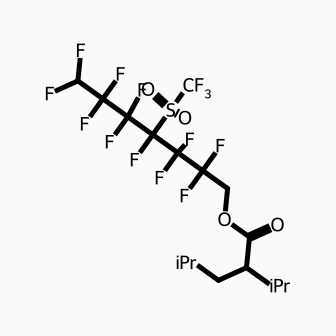 CC(C)CC(C(=O)OCC(F)(F)C(F)(F)C(F)(C(F)(F)C(F)(F)C(F)F)S(=O)(=O)C(F)(F)F)C(C)C